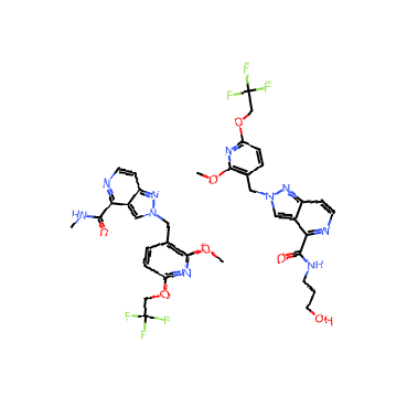 CNC(=O)c1nccc2nn(Cc3ccc(OCC(F)(F)F)nc3OC)cc12.COc1nc(OCC(F)(F)F)ccc1Cn1cc2c(C(=O)NCCCO)nccc2n1